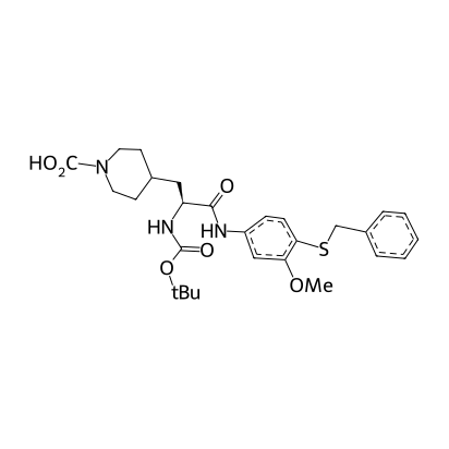 COc1cc(NC(=O)[C@H](CC2CCN(C(=O)O)CC2)NC(=O)OC(C)(C)C)ccc1SCc1ccccc1